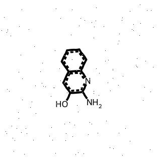 Nc1nc2ccccc2cc1O